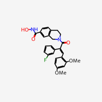 COc1ccc(C=C(C(=O)N2CCc3ccc(C(=O)NO)cc3C2)c2cccc(F)c2)c(OC)c1